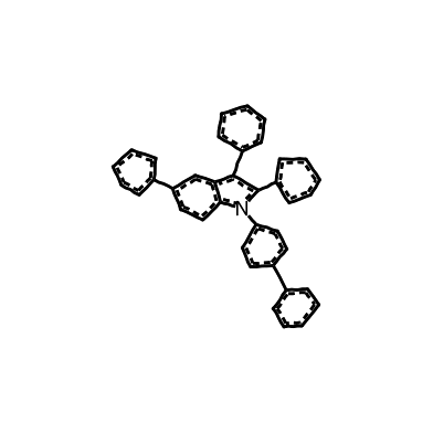 c1ccc(-c2ccc(-n3c(-c4ccccc4)c(-c4ccccc4)c4cc(-c5ccccc5)ccc43)cc2)cc1